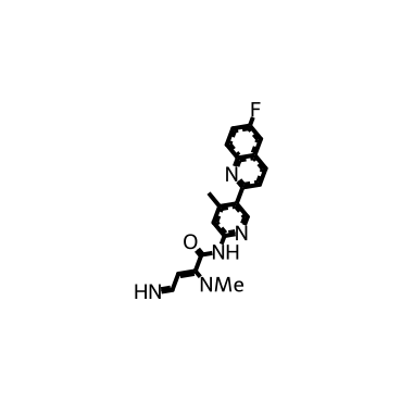 CN/C(=C\C=N)C(=O)Nc1cc(C)c(-c2ccc3cc(F)ccc3n2)cn1